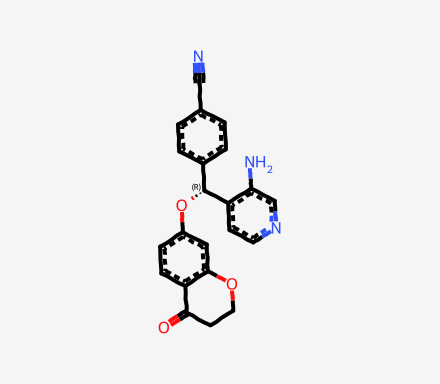 N#Cc1ccc([C@@H](Oc2ccc3c(c2)OCCC3=O)c2ccncc2N)cc1